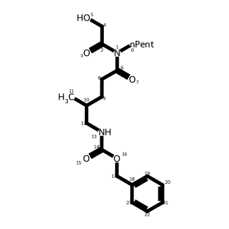 CCCCCN(C(=O)CO)C(=O)CCC(C)CNC(=O)OCc1ccccc1